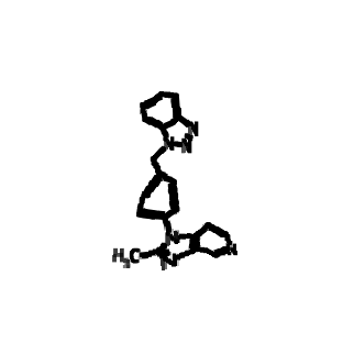 Cc1nc2cnccc2n1-c1ccc(Cn2nnc3ccccc32)cc1